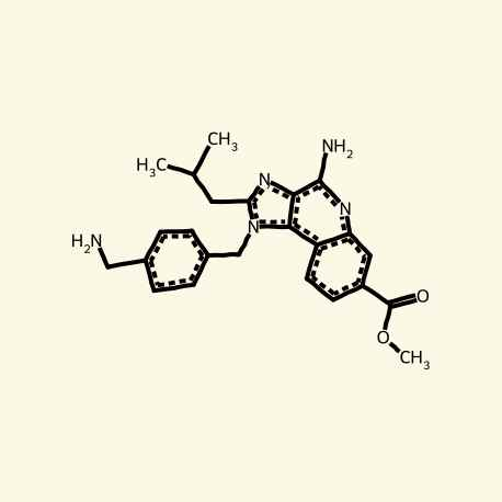 COC(=O)c1ccc2c(c1)nc(N)c1nc(CC(C)C)n(Cc3ccc(CN)cc3)c12